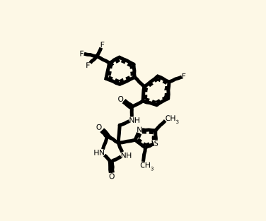 Cc1nc(C2(CNC(=O)c3ccc(F)cc3-c3ccc(C(F)(F)F)cc3)NC(=O)NC2=O)c(C)s1